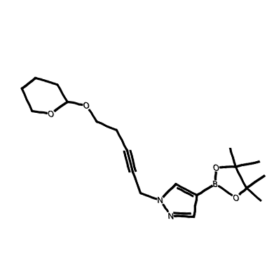 CC1(C)OB(c2cnn(CC#CCCOC3CCCCO3)c2)OC1(C)C